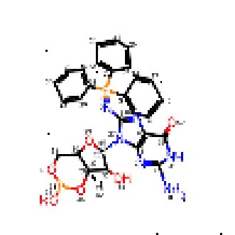 Nc1nc2c(nc(N=P(c3ccccc3)(c3ccccc3)c3ccccc3)n2[C@@H]2OC3COP(O)O[C@H]3C2O)c(=O)[nH]1